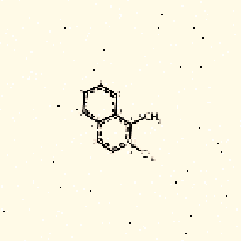 Cc1c2ccccc2cc[n+]1[O-]